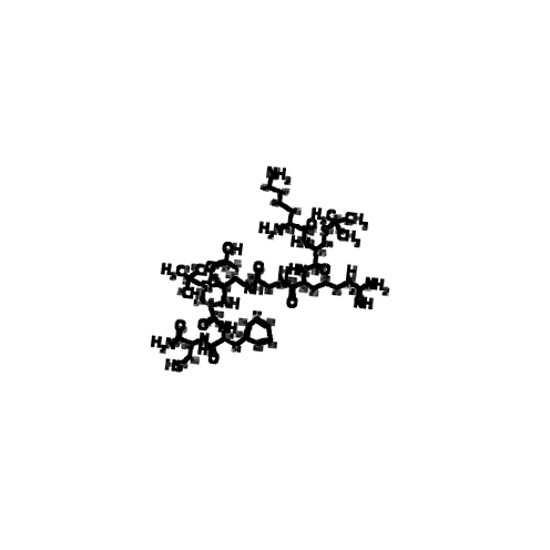 CC(C)(C)SC[C@H](NC(=O)[C@H](CC(=O)O)NC(=O)CNC(=O)[C@H](CCCNC(=N)N)NC(=O)[C@H](CSC(C)(C)C)NC(=O)[C@@H](N)CCCCN)C(=O)N[C@@H](Cc1ccccc1)C(=O)N[C@@H](CS)C(N)=O